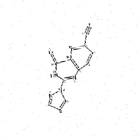 C#Cc1ccc2nc(-n3cccn3)[nH]c(=O)c2c1